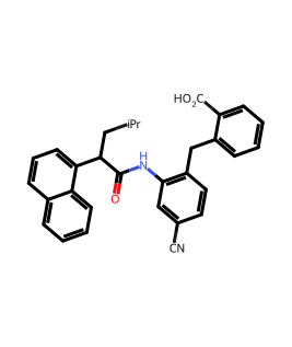 CC(C)CC(C(=O)Nc1cc(C#N)ccc1Cc1ccccc1C(=O)O)c1cccc2ccccc12